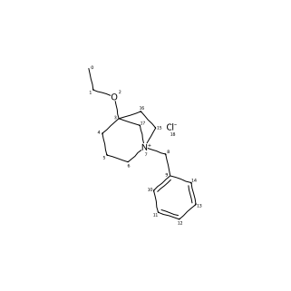 CCOC12CCC[N+](Cc3ccccc3)(CC1)C2.[Cl-]